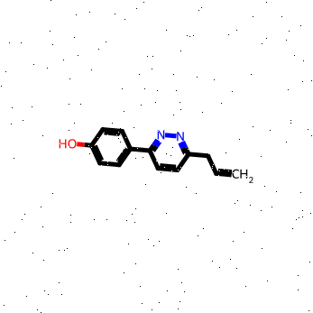 C=CCc1ccc(-c2ccc(O)cc2)nn1